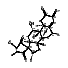 CCC(=O)[C@]1(C(=O)CCl)[C@@H](C)C[C@H]2[C@@H]3CC(C)C4=CC(=O)C(=O)C[C@]4(C)[C@@]3(Cl)[C@@H](O)C[C@@]21C